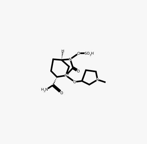 CN1CCC(O[N+]23C[C@@H](CC[C@H]2C(N)=O)N(OS(=O)(=O)O)C3=O)C1